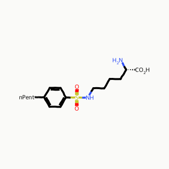 CCCCCc1ccc(S(=O)(=O)NCCCC[C@H](N)C(=O)O)cc1